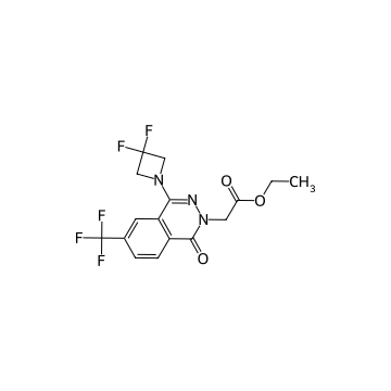 CCOC(=O)Cn1nc(N2CC(F)(F)C2)c2cc(C(F)(F)F)ccc2c1=O